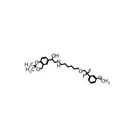 COc1cccc(C(F)(F)COCCCCCCNCC(O)c2ccc3c(c2)COC(C)(C)O3)c1